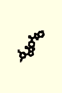 O=C(c1nc2ccncc2s1)N1CCC2(CC1)OC1CCC(c3cc(F)cc(F)c3)N1C2=O